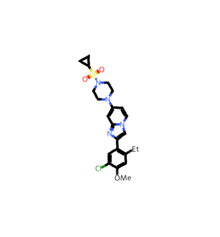 CCc1cc(OC)c(Cl)cc1-c1cn2ccc(N3CCN(S(=O)(=O)C4CC4)CC3)cc2n1